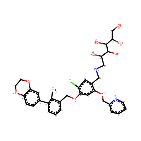 Cc1c(COc2cc(OCc3ccccn3)c(CNCC(O)C(O)C(O)C(O)CO)cc2Cl)cccc1-c1ccc2c(c1)OCCO2